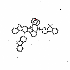 CC1(C)c2ccccc2-c2ccc(N(c3ccccc3)c3cccc4c5c(-c6ccc7c(c6)sc6ccccc67)c6c(cc5n(-c5ccccc5)c34)oc3ccccc36)cc21